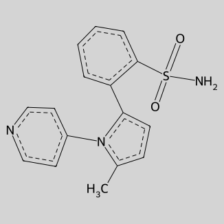 Cc1ccc(-c2ccccc2S(N)(=O)=O)n1-c1ccncc1